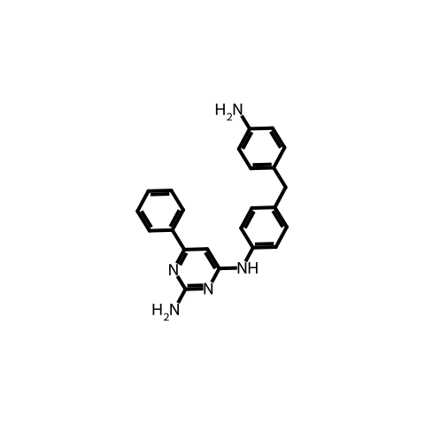 Nc1ccc(Cc2ccc(Nc3cc(-c4ccccc4)nc(N)n3)cc2)cc1